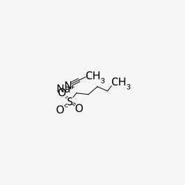 CC#N.CCCCCS(=O)(=O)[O-].[Na+]